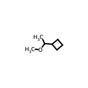 CO[C](C)C1CCC1